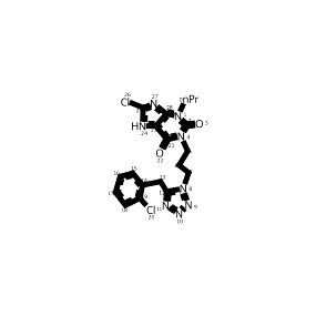 CCCn1c(=O)n(CCCn2nnnc2Cc2ccccc2Cl)c(=O)c2[nH]c(Cl)nc21